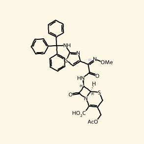 CO/N=C(\C(=O)N[C@@H]1C(=O)N2C(C(=O)O)=C(COC(C)=O)CS[C@H]12)c1csc(NC(c2ccccc2)(c2ccccc2)c2ccccc2)n1